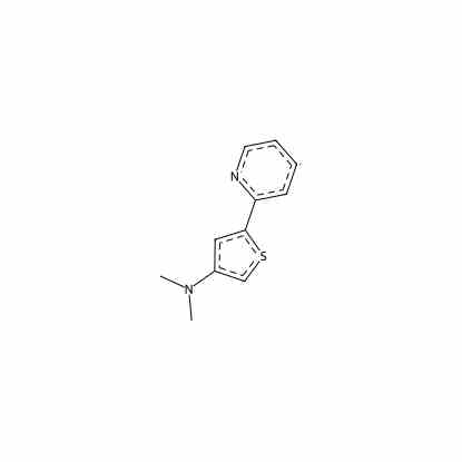 CN(C)c1csc(-c2c[c]ccn2)c1